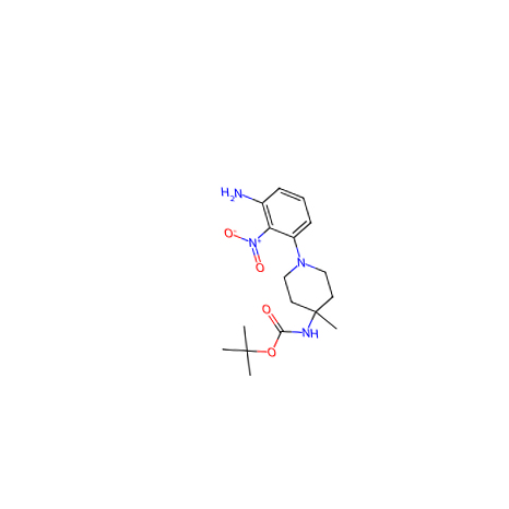 CC1(NC(=O)OC(C)(C)C)CCN(c2cccc(N)c2[N+](=O)[O-])CC1